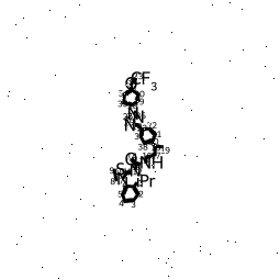 CC(C)c1ccccc1N1CCS/C1=N\C(=O)NCCC(C)c1ccc(-c2ncn(-c3ccc(OC(F)(F)F)cc3)n2)cc1